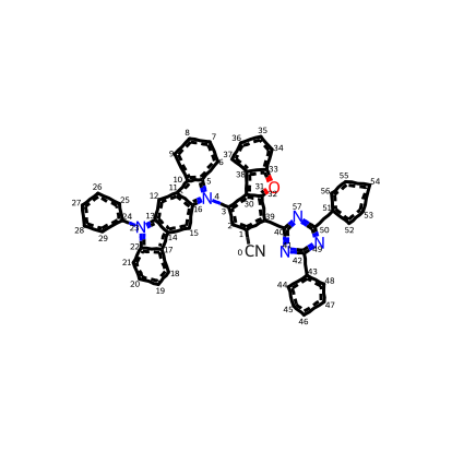 N#Cc1cc(-n2c3ccccc3c3cc4c(cc32)c2ccccc2n4-c2ccccc2)c2c(oc3ccccc32)c1-c1nc(-c2ccccc2)nc(-c2ccccc2)n1